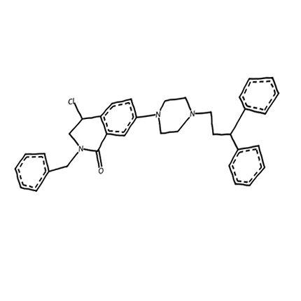 O=C1c2cc(N3CCN(CCC(c4ccccc4)c4ccccc4)CC3)ccc2C(Cl)CN1Cc1ccccc1